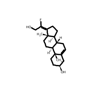 C[C@]12CC[C@H](O)CC1=CC[C@@H]1[C@@H]2CC[C@]2(C)/C(=C(/F)CO)CC[C@@H]12